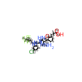 CC(C)(Cc1cccc([C@]2(C)C(=O)Nc3nc(-c4nn(CCC(F)(F)C(F)(F)F)c5cc(Cl)ccc45)nc(N)c32)c1)C(=O)O